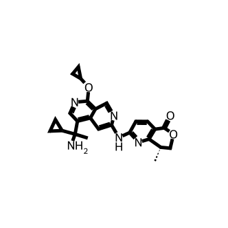 C[C@H]1COC(=O)c2ccc(Nc3cc4c(C(C)(N)C5CC5)cnc(OC5CC5)c4cn3)nc21